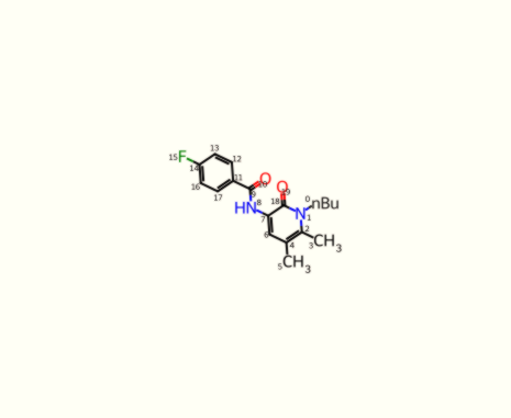 CCCCn1c(C)c(C)cc(NC(=O)c2ccc(F)cc2)c1=O